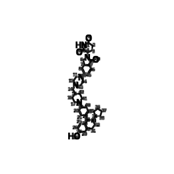 O=C1CCC(N2Cc3cc(N4CCN(CC5CCN(c6ccc([C@@H]7c8ccc(O)cc8CC[C@@H]7C7CCCC7)cc6)CC5)CC4)ccc3C2=O)C(=O)N1